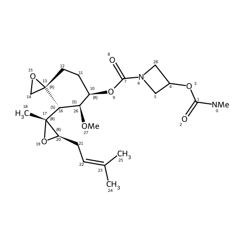 CNC(=O)OC1CN(C(=O)O[C@@H]2CC[C@]3(CO3)[C@@H]([C@@]3(C)O[C@@H]3CC=C(C)C)[C@@H]2OC)C1